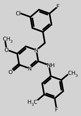 COc1cn(Cc2cc(F)cc(Cl)c2)c(Nc2cc(C)c(F)cc2C)nc1=O